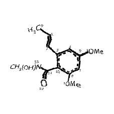 CC=Cc1cc(OC)cc(OC)c1C(=O)N(C)O